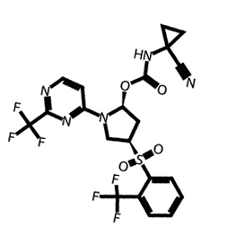 N#CC1(NC(=O)O[C@H]2C[C@@H](S(=O)(=O)c3ccccc3C(F)(F)F)CN2c2ccnc(C(F)(F)F)n2)CC1